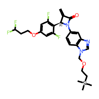 C=C1C(=O)N(c2ccc3c(c2)ncn3COCC[Si](C)(C)C)[C@H]1c1c(F)cc(OCCC(F)F)cc1F